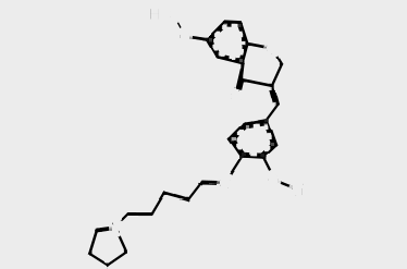 COc1ccc2c(c1)C(=O)C(=Cc1ccc(OCCCCCN3CCCC3)c(OC)c1)CO2